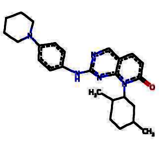 CC1CCC(C)C(n2c(=O)ccc3cnc(Nc4ccc(N5CCCCC5)cc4)nc32)C1